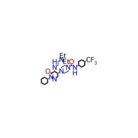 CCN(CC)CCNc1c(N2CCN(C(=O)Nc3ccc(C(F)(F)F)cc3)CC2)cnn(-c2ccccc2)c1=O